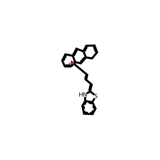 C1=CCC2=CC34N=C(C=CC=C5Nc6ccccc6S5)SC3=CC=CC4=CC2=C1